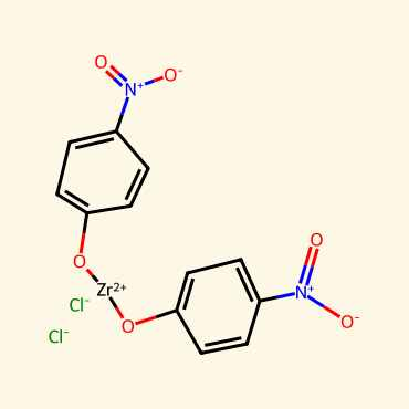 O=[N+]([O-])c1ccc([O][Zr+2][O]c2ccc([N+](=O)[O-])cc2)cc1.[Cl-].[Cl-]